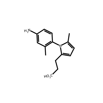 Cc1cc(N)ccc1-n1c(C)ccc1CCC(=O)O